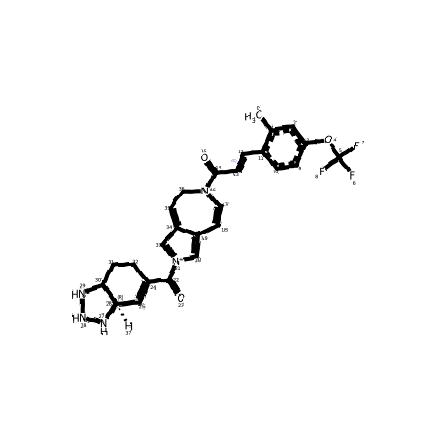 Cc1cc(OC(F)(F)F)ccc1/C=C/C(=O)N1C=CC2=C[N+](C(=O)C3=C[C@H]4NNNC4CC3)=CC2=CC1